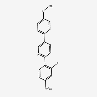 CCCCCCc1ccc(-c2ccc(-c3ccc(OCCCC)cc3)cn2)c(F)c1